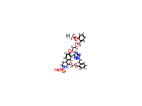 COc1ccccc1COCCCOc1ccc(C2CCN(C(=O)O)CC2OCCOc2ccccc2CCn2ncnn2)cc1